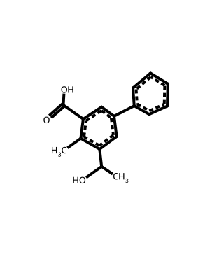 Cc1c(C(=O)O)cc(-c2ccccc2)cc1C(C)O